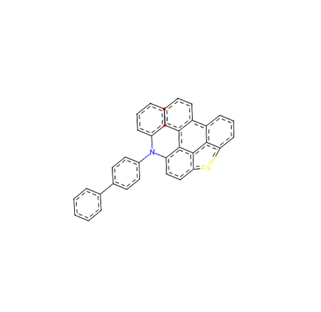 c1ccc(-c2ccc(N(c3ccccc3)c3ccc4sc5cccc6c7ccccc7c3c4c56)cc2)cc1